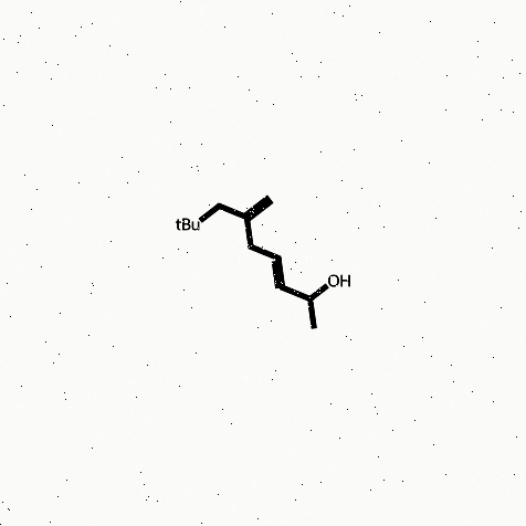 C=C(CC=CC(C)O)CC(C)(C)C